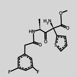 COC(=O)[C@@](N)(C(=O)[C@H](C)NC(=O)Cc1cc(F)cc(F)c1)c1cccs1